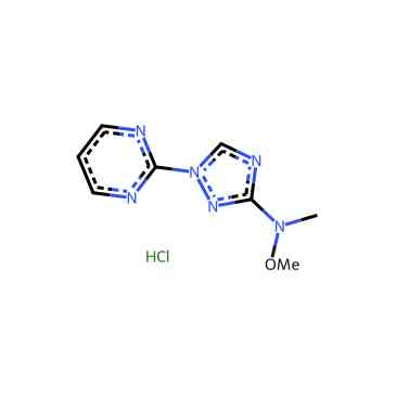 CON(C)c1ncn(-c2ncccn2)n1.Cl